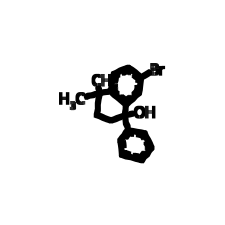 CC1(C)CCC(O)(c2ccccc2)c2cc(Br)ccc21